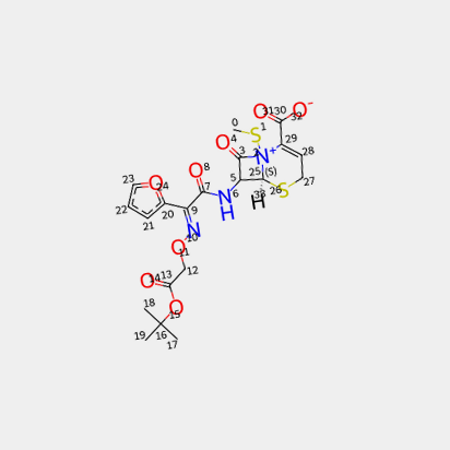 CS[N+]12C(=O)C(NC(=O)C(=NOCC(=O)OC(C)(C)C)c3ccco3)[C@@H]1SCC=C2C(=O)[O-]